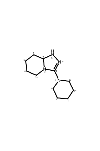 C1CCN(C2=NNC3CCCCN23)CC1